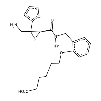 CC(C)N(Cc1ccccc1OCCCCCC(=O)O)C(=O)[C@H]1SC1(CN)c1ccco1